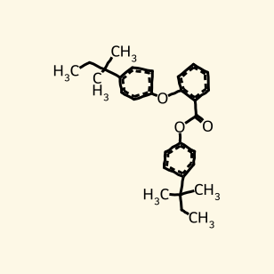 CCC(C)(C)c1ccc(OC(=O)c2ccccc2Oc2ccc(C(C)(C)CC)cc2)cc1